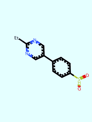 CCc1ncc(-c2ccc([SH](=O)=O)cc2)cn1